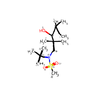 CC(C)(C)C(O)C(C)(C)CN(C(C)(C)C)S(C)(=O)=O